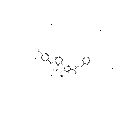 C=C(C)n1nc(C(=O)NCc2ccccc2)cc1-c1ccnc(Oc2ccc(C#N)cc2)n1